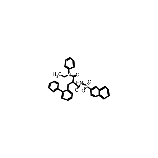 CCN(C(=O)C(Cc1ccccc1-c1ccccc1)C(=O)NS(=O)(=O)c1ccc2ccccc2c1)c1ccccc1